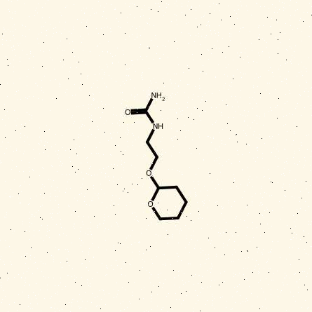 NC(=O)NCCOC1CCCCO1